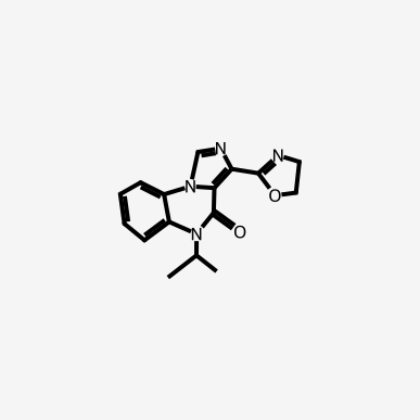 CC(C)n1c(=O)c2c(C3=NCCO3)ncn2c2ccccc21